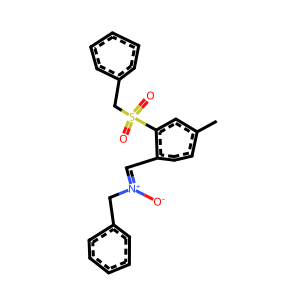 Cc1ccc(/C=[N+](\[O-])Cc2ccccc2)c(S(=O)(=O)Cc2ccccc2)c1